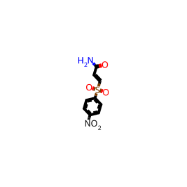 NC(=O)C=CS(=O)(=O)c1ccc([N+](=O)[O-])cc1